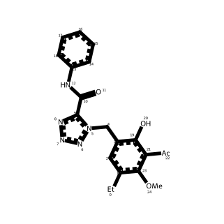 CCc1cc(Cn2nnnc2C(=O)Nc2ccccc2)c(O)c(C(C)=O)c1OC